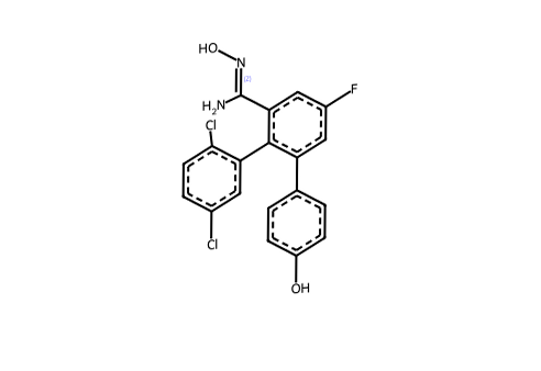 N/C(=N\O)c1cc(F)cc(-c2ccc(O)cc2)c1-c1cc(Cl)ccc1Cl